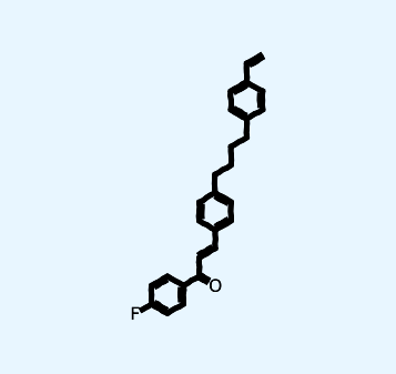 C=Cc1ccc(CCCCc2ccc(C=CC(=O)c3ccc(F)cc3)cc2)cc1